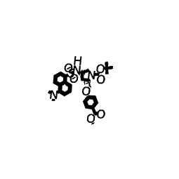 COC(=O)c1ccc(OC[C@@H]2C[C@H](NS(=O)(=O)c3cccc4c(N(C)C)cccc34)CN2C(=O)OC(C)(C)C)cc1